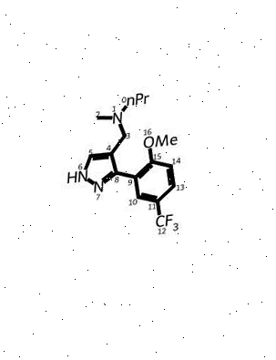 CCCN(C)Cc1c[nH]nc1-c1cc(C(F)(F)F)ccc1OC